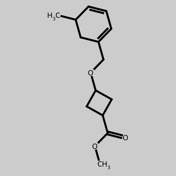 COC(=O)C1CC(OCC2=CC=CC(C)C2)C1